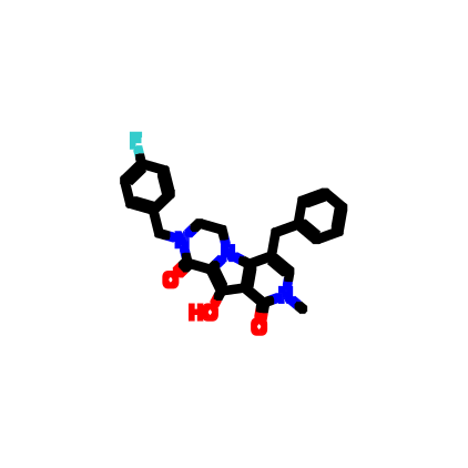 Cn1cc(Cc2ccccc2)c2c(c(O)c3n2CCN(Cc2ccc(F)cc2)C3=O)c1=O